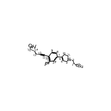 CC(C)(C)CCN1CC=C(c2ccc(C#CCCCO)c(F)c2)CC1